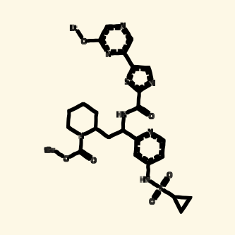 CCOc1cncc(-c2cnc(C(=O)NC(CC3CCCCN3C(=O)OC(C)(C)C)c3cc(NS(=O)(=O)C4CC4)ccn3)s2)n1